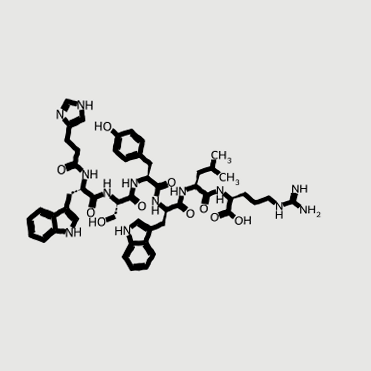 CC(C)C[C@H](NC(=O)[C@@H](Cc1c[nH]c2ccccc12)NC(=O)[C@H](Cc1ccc(O)cc1)NC(=O)[C@H](CO)NC(=O)[C@H](Cc1c[nH]c2ccccc12)NC(=O)CCc1c[nH]cn1)C(=O)N[C@@H](CCCNC(=N)N)C(=O)O